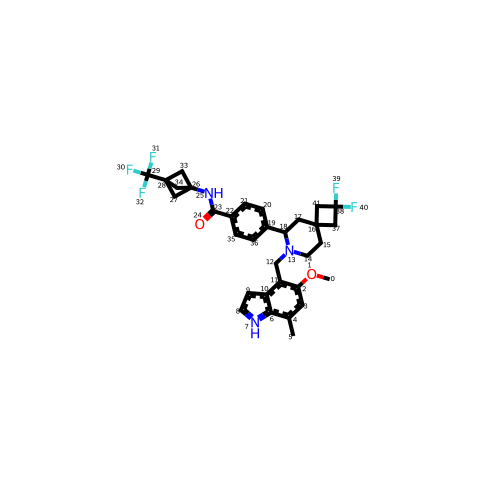 COc1cc(C)c2[nH]ccc2c1CN1CCC2(CC1c1ccc(C(=O)NC34CC(C(F)(F)F)(C3)C4)cc1)CC(F)(F)C2